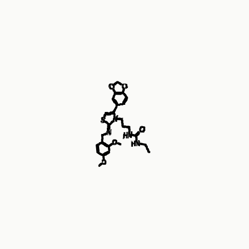 CCNC(=O)NCCCn1c(-c2ccc3c(c2)OCO3)cs/c1=N\Cc1ccc(OC)cc1OC